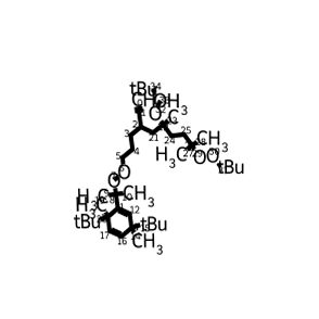 C#CC(CCCOOC(C)(C)C1=CC(C)(C(C)(C)C)C=CC1(C)C(C)(C)C)CC(C)(CCC(C)(C)OOC(C)(C)C)OOC(C)(C)C